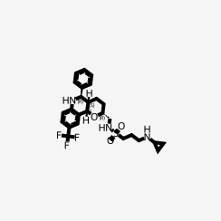 O=S(=O)(CCCNC1CC1)NC[C@H]1CC[C@@H]2[C@H](O1)c1cc(C(F)(F)F)ccc1N[C@H]2c1ccccc1